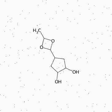 CC1OC(C2CC(O)C(O)C2)O1